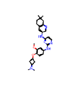 COc1cc(Nc2nccc(Nc3cnc4c(c3)CCC(C)(C)C4)n2)ccc1OC1CC(N(C)C)C1